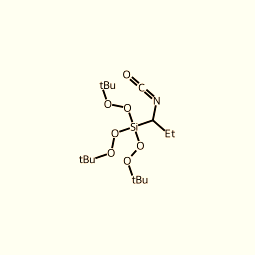 CCC(N=C=O)[Si](OOC(C)(C)C)(OOC(C)(C)C)OOC(C)(C)C